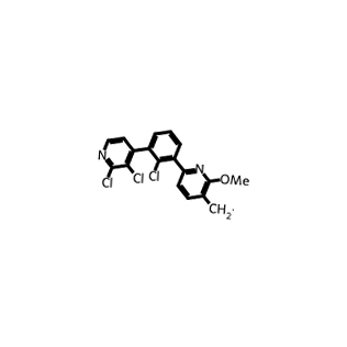 [CH2]c1ccc(-c2cccc(-c3ccnc(Cl)c3Cl)c2Cl)nc1OC